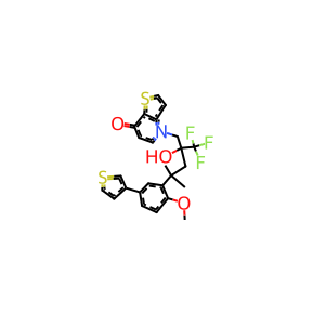 COc1ccc(-c2ccsc2)cc1C(C)(C)CC(O)(Cn1ccc(=O)c2sccc21)C(F)(F)F